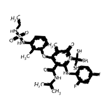 CCNS(=O)(=O)Nc1cccc(Oc2c(C(=O)NC(C)C)c(Nc3ccc(I)cc3F)n(C(S)(S)S)c(=O)c2C)c1C